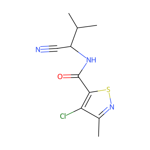 Cc1nsc(C(=O)NC(C#N)C(C)C)c1Cl